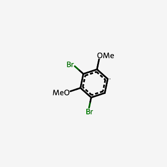 COc1[c]cc(Br)c(OC)c1Br